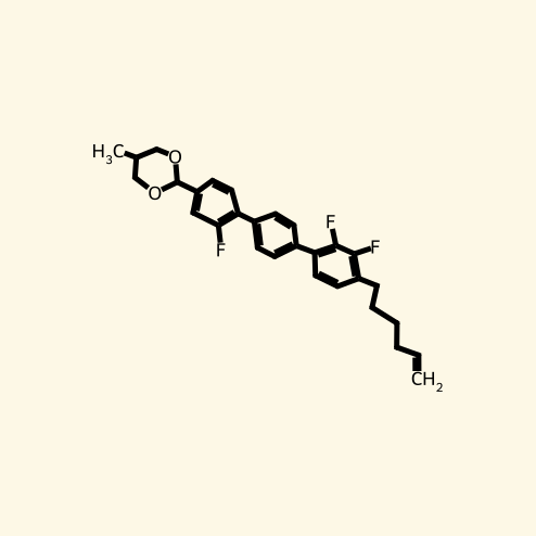 C=CCCCCc1ccc(-c2ccc(-c3ccc(C4OCC(C)CO4)cc3F)cc2)c(F)c1F